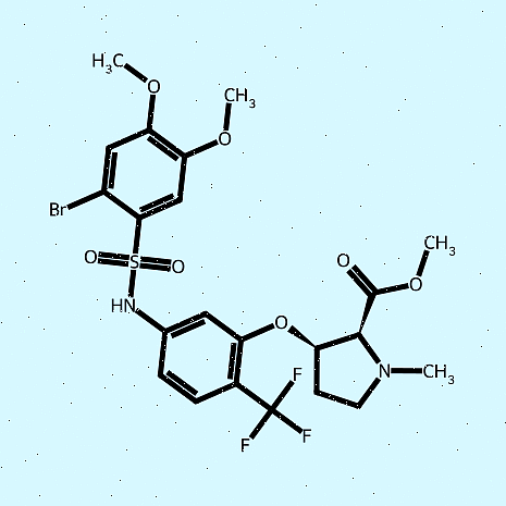 COC(=O)[C@@H]1[C@H](Oc2cc(NS(=O)(=O)c3cc(OC)c(OC)cc3Br)ccc2C(F)(F)F)CCN1C